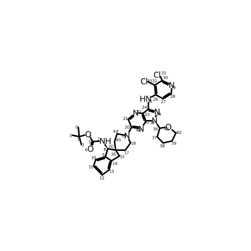 CC(C)(C)OC(=O)N[C@@H]1c2ccccc2CC12CCN(c1cnc3c(Nc4ccnc(Cl)c4Cl)nn(C4CCCCO4)c3n1)CC2